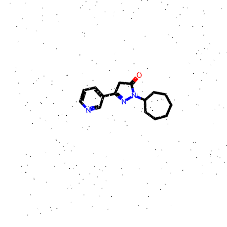 O=C1CC(c2cccnc2)=NN1C1CCCCCC1